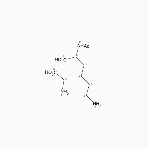 CC(=O)NC(CCCCN)C(=O)O.NCC(=O)O